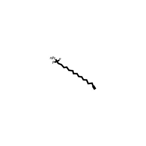 C#CCCCCCCCCCCCCCCC(F)(F)CCC